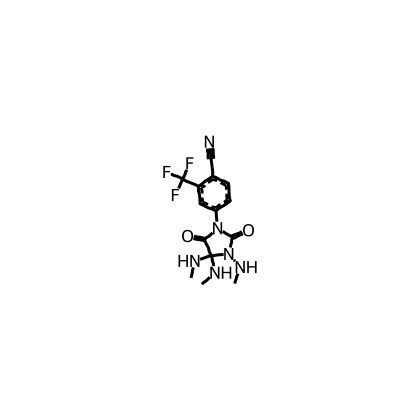 CNN1C(=O)N(c2ccc(C#N)c(C(F)(F)F)c2)C(=O)C1(NC)NC